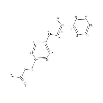 CC(=O)CCc1ccc(O/C=C(\C)c2ccccc2)cc1